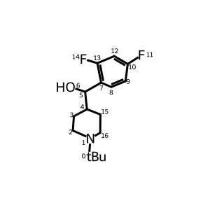 CC(C)(C)N1CCC(C(O)c2ccc(F)cc2F)CC1